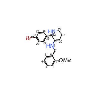 COc1ccccc1CN[C@@H]1CCCN[C@@H]1c1ccc(Br)cc1